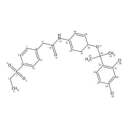 CCS(=O)(=O)c1ccc(CC(=O)NC2=CCC(OC(C)(C)c3ccc(Cl)cc3Cl)C=C2)cc1